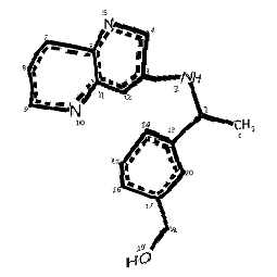 CC(Nc1cnc2cccnc2c1)c1cccc(CO)c1